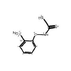 O=C(S)NOc1ccccc1C(=O)O